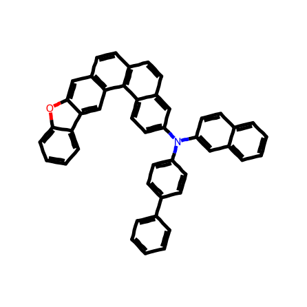 c1ccc(-c2ccc(N(c3ccc4ccccc4c3)c3ccc4c(ccc5ccc6cc7oc8ccccc8c7cc6c54)c3)cc2)cc1